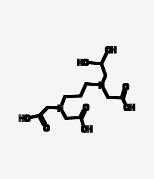 O=C(O)CN(CCCN(CC(=O)O)CC(O)O)CC(=O)O